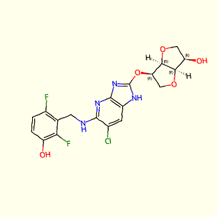 Oc1ccc(F)c(CNc2nc3nc(O[C@@H]4CO[C@H]5[C@@H]4OC[C@H]5O)[nH]c3cc2Cl)c1F